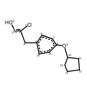 O/N=C(\Cl)Cc1ccc(OC2CCCC2)cc1